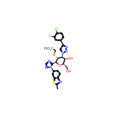 CCOC(=O)CO[C@@H]1[C@@H](n2cc(-c3ccc(Cl)c(F)c3)nn2)[C@@H](O)[C@@H](CO)O[C@H]1c1ncnn1-c1ccc2nc(C)sc2c1